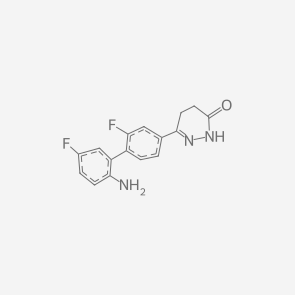 Nc1ccc(F)cc1-c1ccc(C2=NNC(=O)CC2)cc1F